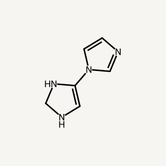 C1=C(n2ccnc2)NCN1